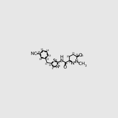 CN1N=C(C(=O)Nc2ncc(Cc3cccc(C#N)c3)s2)CCC1=O